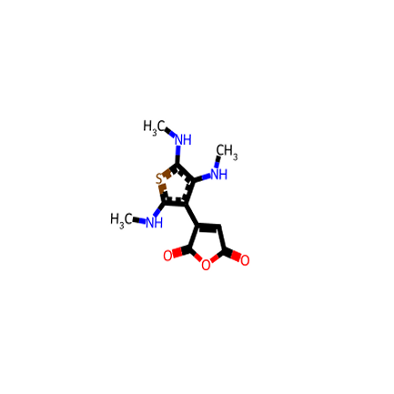 CNc1sc(NC)c(C2=CC(=O)OC2=O)c1NC